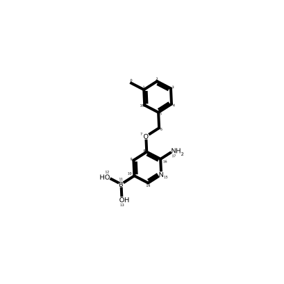 Cc1cccc(COc2cc(B(O)O)cnc2N)c1